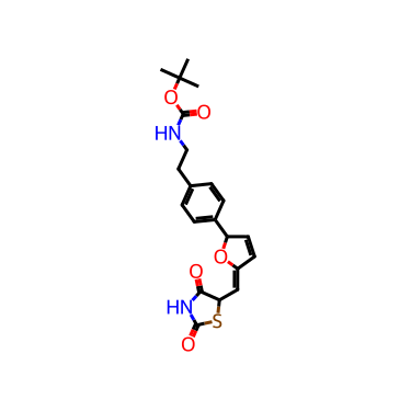 CC(C)(C)OC(=O)NCCc1ccc(C2C=CC(=CC3SC(=O)NC3=O)O2)cc1